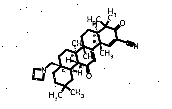 CC1(C)CC[C@]2(CN3CCC3)CC[C@]3(C)[C@H](C(=O)C=C4[C@@]5(C)C=C(C#N)C(=O)C(C)(C)[C@@H]5CC[C@]43C)[C@@H]2C1